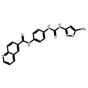 CC(C)(C)c1cc(NC(=O)Nc2ccc(NC(=O)c3ccc4ncccc4c3)cc2)no1